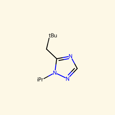 CC(C)n1ncnc1CC(C)(C)C